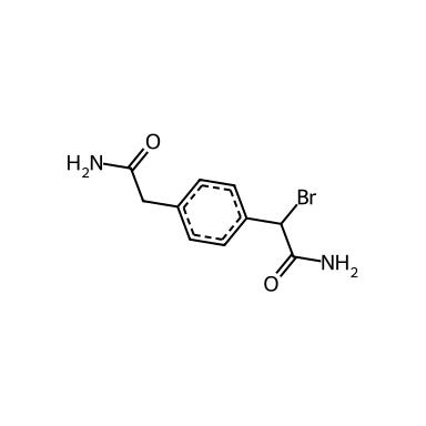 NC(=O)Cc1ccc(C(Br)C(N)=O)cc1